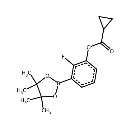 CC1(C)OB(c2cccc(OC(=O)C3CC3)c2F)OC1(C)C